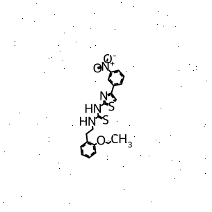 CCOc1ccccc1CCNC(=S)Nc1nc(-c2cccc([N+](=O)[O-])c2)cs1